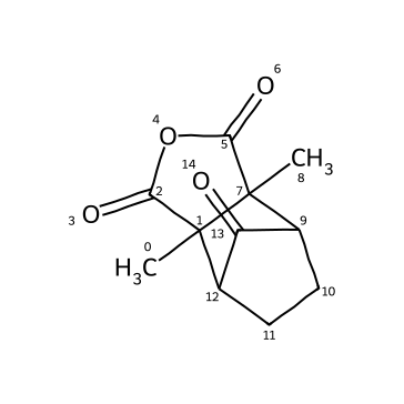 CC12C(=O)OC(=O)C1(C)C1CCC2C1=O